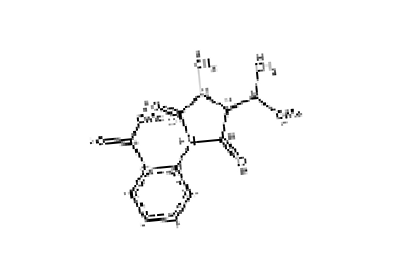 COC(=O)c1ccccc1N1C(=O)C(C)C(C(C)OC)C1=O